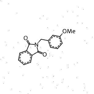 COc1cccc(CN2C(=O)c3ccccc3C2=O)c1